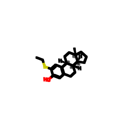 CCSc1cc2c(cc1O)CC[C@@H]1[C@@H]2CC[C@]2(C)CCC[C@@H]12